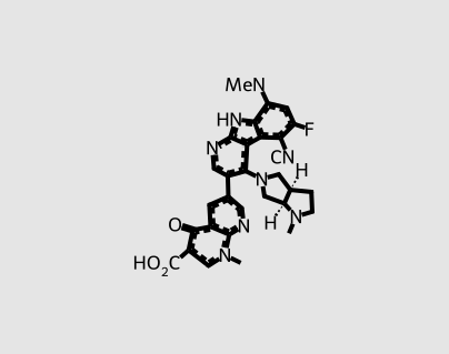 CNc1cc(F)c(C#N)c2c1[nH]c1ncc(-c3cnc4c(c3)c(=O)c(C(=O)O)cn4C)c(N3C[C@H]4CCN(C)[C@H]4C3)c12